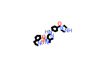 O=C(c1ccc(Nc2cc3c(cn2)cnn3S(=O)(=O)c2cccc3cccnc23)cc1)N1CCNCC1